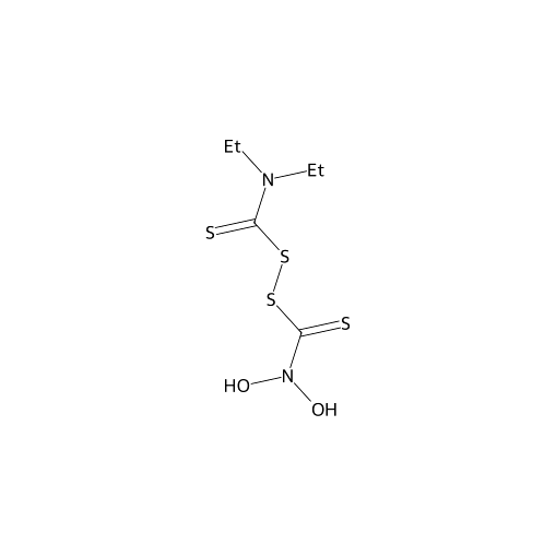 CCN(CC)C(=S)SSC(=S)N(O)O